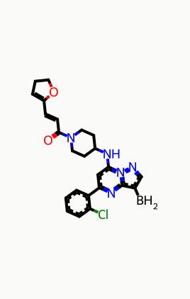 Bc1cnn2c(NC3CCN(C(=O)/C=C/C4=CCCO4)CC3)cc(-c3ccccc3Cl)nc12